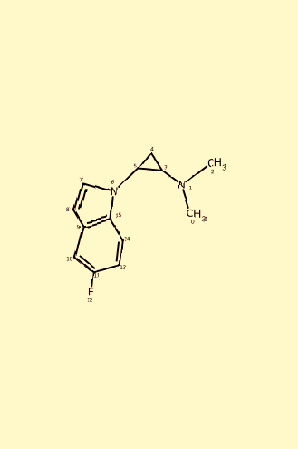 CN(C)C1CC1n1ccc2cc(F)ccc21